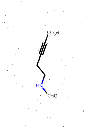 O=[C]NCCC#CC(=O)O